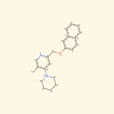 Cc1cnc(COc2ccc3ccccc3c2)cc1N1CCCCC1